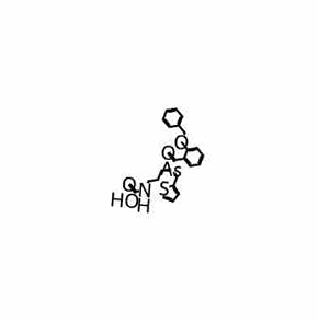 O=C(O)NCCC[As](Cc1cccs1)C(=O)c1ccccc1OCc1ccccc1